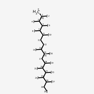 C[C@@H](I)C(I)C(I)C(I)C(I)CCC(I)[C@@H](I)CC(I)C(I)C(I)C(I)C(I)CI